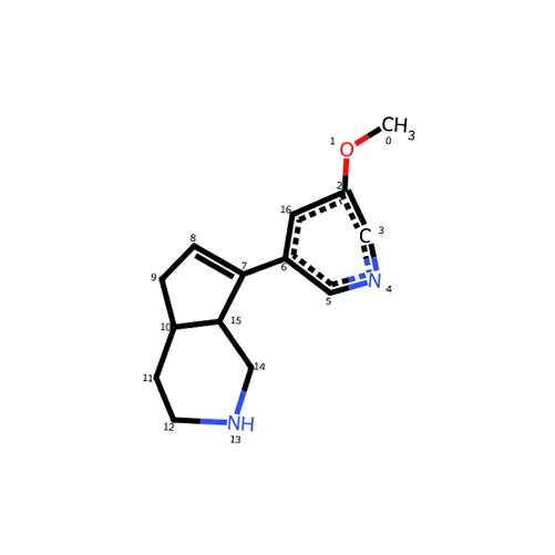 COc1cncc(C2=CCC3CCNCC23)c1